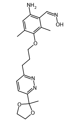 Cc1cc(N)c(/C=N\O)c(C)c1OCCCc1ccc(C2(C)OCCO2)nn1